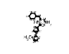 Cn1ncnc1-c1csc(C(=O)N[C@H](CN)CC2CCCCC2)c1